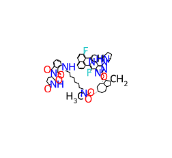 C#Cc1c(F)ccc2cccc(-c3ncc4c(N5CC6CCC(C5)N6)nc(OC[C@@]56CC[C@@H](COC(=O)N(C)CCCCCCCCNc7cccc8c7C(=O)N(C7CCC(=O)NC7=O)C8=O)CCC5CC(=C)C6)nc4c3F)c12